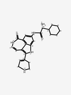 N[C@@H](C(=O)Nc1cc2c3c(c(C4=CCNCC4)[nH]c3c1)C=NNC2=O)C1CCCCC1